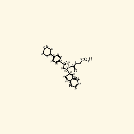 O=C(O)CCC(=O)N1N=C(c2ccc(C3CCCCC3)cc2)CC1c1ccc2nccnc2c1